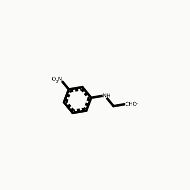 O=[C]CNc1cccc([N+](=O)[O-])c1